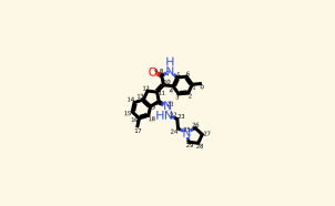 Cc1ccc2c(c1)NC(=O)/C2=C1\Cc2ccc(C)cc2\C1=N/NCCN1CCCC1